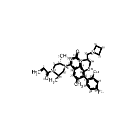 C=CC(=O)N1C[C@H](C)N(c2nc(=O)n3c4c(c(-c5ccc(F)cc5F)c(C)cc24)SCC3CN2CCC2)C[C@H]1C